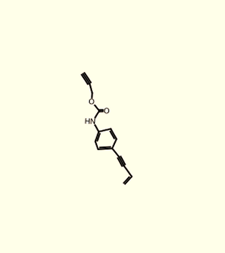 C#CCOC(=O)Nc1ccc(C#CC=C)cc1